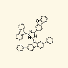 c1ccc(-c2ccc3c4ccc(-c5ccccc5)cc4n(-c4nc(-c5ccc6c(c5)oc5ccccc56)nc(-n5c6ccccc6c6ccccc65)n4)c3c2)cc1